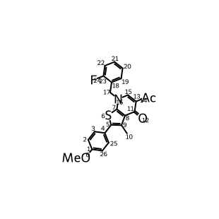 COc1ccc(-c2sc3c(c2C)c(=O)c(C(C)=O)cn3Cc2ccccc2F)cc1